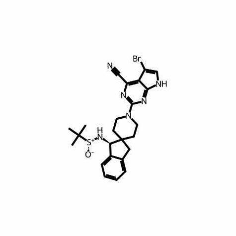 CC(C)(C)[S@@+]([O-])N[C@@H]1c2ccccc2CC12CCN(c1nc(C#N)c3c(Br)c[nH]c3n1)CC2